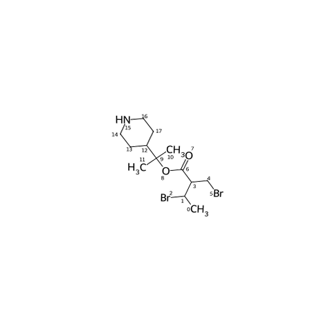 CC(Br)C(CBr)C(=O)OC(C)(C)C1CCNCC1